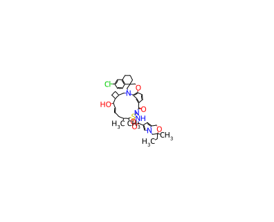 CCC1(C)Cn2cc(C(=O)NS3(=O)=NC(=O)c4ccc5c(c4)N(CC4CCC4C(O)/C=C/CC(C)C3C)CC3(CCCc4cc(Cl)ccc43)CO5)cc2CO1